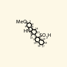 COc1ccc2c(c1)[nH]c1c(C)c(-c3ccc4ccccc4c3S(=O)(=O)O)ccc12